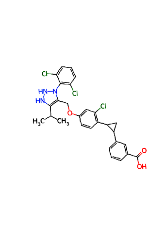 CC(C)C1=C(COc2ccc(C3CC3c3cccc(C(=O)O)c3)c(Cl)c2)N(c2c(Cl)cccc2Cl)NN1